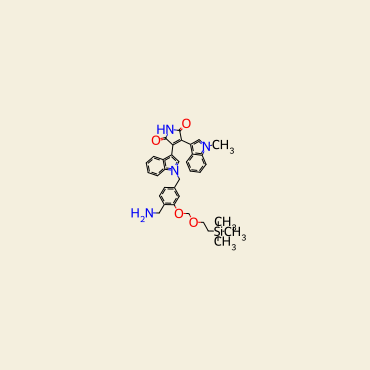 Cn1cc(C2=C(c3cn(Cc4ccc(CN)c(OCOCC[Si](C)(C)C)c4)c4ccccc34)C(=O)NC2=O)c2ccccc21